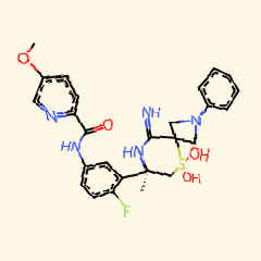 COc1ccc(C(=O)Nc2ccc(F)c([C@]3(C)CS(O)(O)C4(CN(c5ccccc5)C4)C(=N)N3)c2)nc1